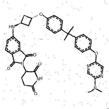 CN(C)c1cnc(Oc2ccc(C(C)(C)c3ccc(O[C@H]4C[C@H](Nc5ccc6c(c5)C(=O)N(C5CCC(=O)NC5=O)C6=O)C4)cc3)cc2)cn1